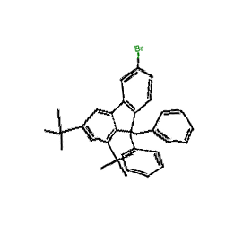 CC(C)(C)c1cc2c(c(C(C)(C)C)c1)C(c1ccccc1)(c1ccccc1)c1ccc(Br)cc1-2